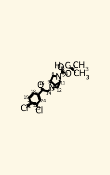 CC(C)(C)OC(=O)N1CC2CC1CN2CC(=O)c1ccc(Cl)c(Cl)c1